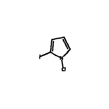 Cln1cccc1I